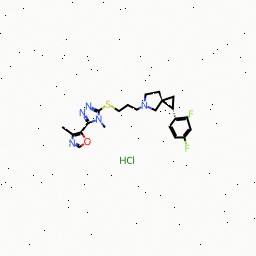 Cc1ncoc1-c1nnc(SCCCN2CC[C@]3(C[C@@H]3c3ccc(F)cc3F)C2)n1C.Cl